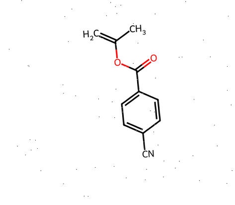 C=C(C)OC(=O)c1ccc(C#N)cc1